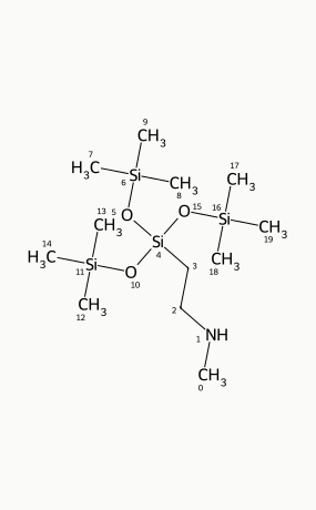 CNCC[Si](O[Si](C)(C)C)(O[Si](C)(C)C)O[Si](C)(C)C